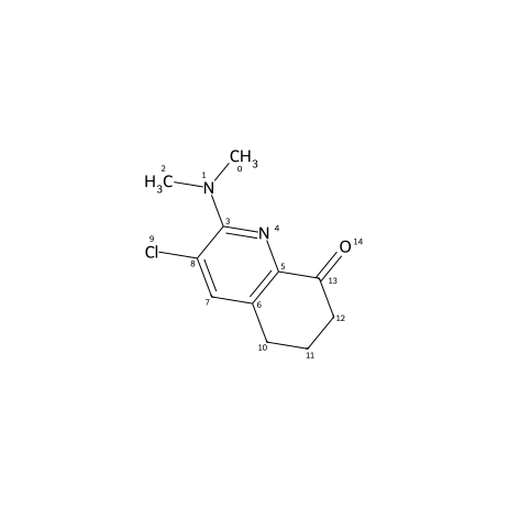 CN(C)c1nc2c(cc1Cl)CCCC2=O